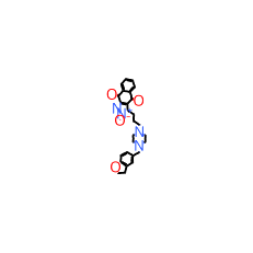 O=C1C2=C(C(=O)c3ccccc31)C(CCCN1CCN(Cc3ccc4c(c3)CCO4)CC1)[N+]([O-])=N2